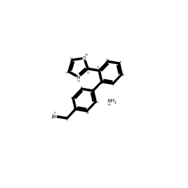 BrCc1ccc(-c2ccccc2-c2ncco2)cc1.N